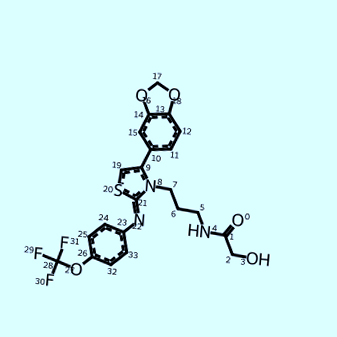 O=C(CO)NCCCn1c(-c2ccc3c(c2)OCO3)cs/c1=N\c1ccc(OC(F)(F)F)cc1